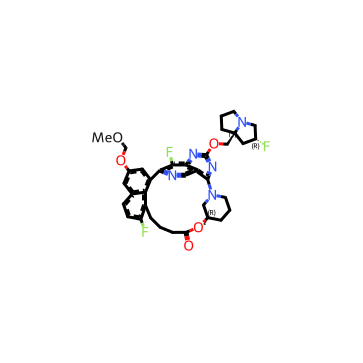 COCOc1cc2c3c(c(F)ccc3c1)CCCC(=O)O[C@]1(C)CCCN(C1)c1nc(OC[C@@]34CCCN3C[C@H](F)C4)nc3c(F)c-2ncc13